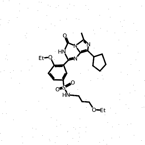 CCOCCCNS(=O)(=O)c1ccc(OCC)c(-c2nc3c(C4CCCC4)nc(C)n3c(=O)[nH]2)c1